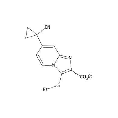 CCOC(=O)c1nc2cc(C3(C#N)CC3)ccn2c1SCC